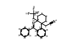 N#CCC12CCCCC1(CC(F)(F)F)N=C(c1ccccc1)c1ccccc12